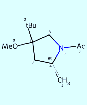 COC1(C(C)(C)C)C[C@@H](C)N(C(C)=O)C1